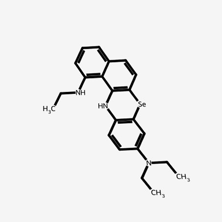 CCNc1cccc2ccc3c(c12)Nc1ccc(N(CC)CC)cc1[Se]3